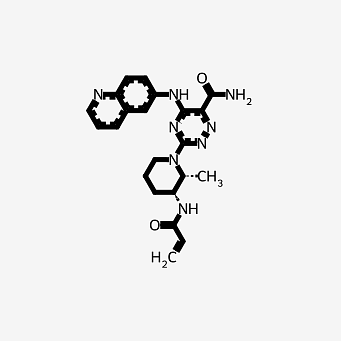 C=CC(=O)N[C@@H]1CCCN(c2nnc(C(N)=O)c(Nc3ccc4ncccc4c3)n2)[C@@H]1C